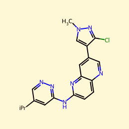 CC(C)c1cnnc(Nc2ccc3ncc(-c4cn(C)nc4Cl)cc3n2)c1